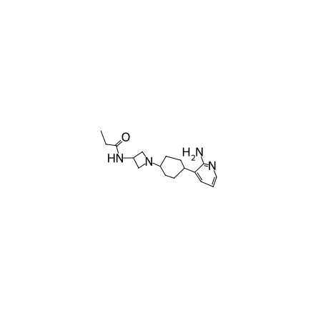 CCC(=O)NC1CN(C2CCC(c3cccnc3N)CC2)C1